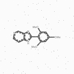 COc1cc(OC)c(-c2nc3cnccc3[nH]2)c(OC)c1